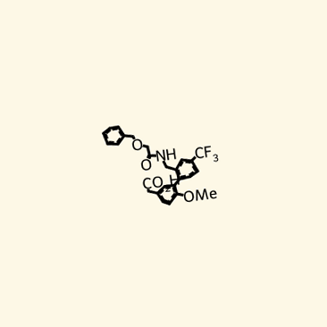 COc1ccc(CC(=O)O)cc1-c1ccc(C(F)(F)F)cc1CNC(=O)COCc1ccccc1